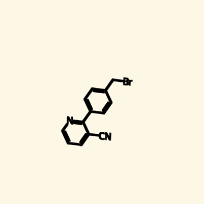 N#Cc1cccnc1-c1ccc(CBr)cc1